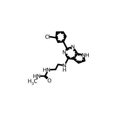 CNC(=O)NCCNc1nc(-c2cccc(Cl)c2)nc2[nH]ccc12